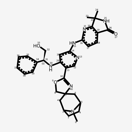 CN1C2CCC1CC1(COC(c3cnc(Nc4ccc5c(n4)C(C)(C)NC5=O)cc3N[C@H](CO)c3ccccc3)=N1)C2